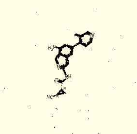 Cc1cnccc1-c1cc(N)c2cnc(NC(=O)[C@@H]3C[C@H]3C#N)cc2c1